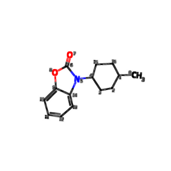 CC1CCC(n2c(=O)oc3ccccc32)CC1